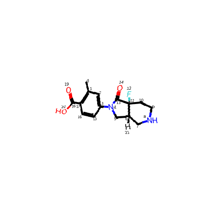 Cc1cc(N2C[C@H]3CNCC[C@@]3(F)C2=O)ccc1C(=O)O